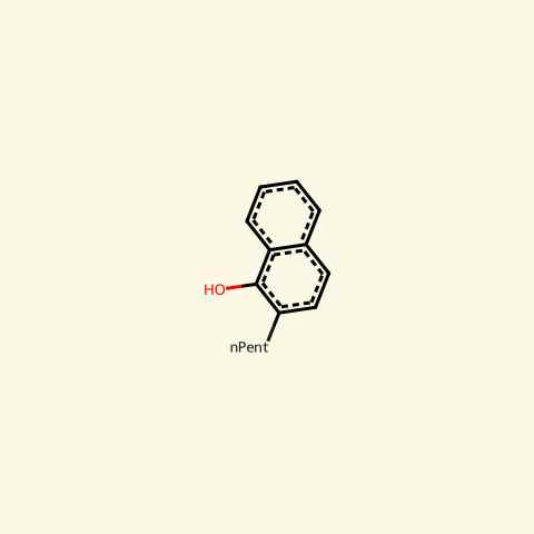 CCCCCc1ccc2ccccc2c1O